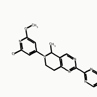 COc1cc(N2CCc3nc(-c4ncccn4)ncc3C2C)cc(Cl)n1